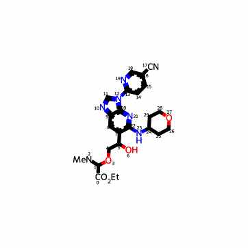 CCOC(=O)C(NC)OCC(O)c1cc2ncn(-c3ccc(C#N)cn3)c2nc1NC1CCOCC1